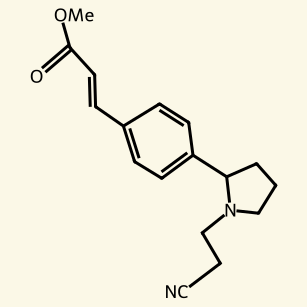 COC(=O)C=Cc1ccc(C2CCCN2CCC#N)cc1